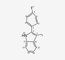 Cc1c(-c2ccc(F)cc2)[nH]c2cc[c]cc12